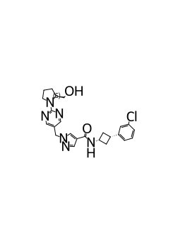 O=C(N[C@H]1C[C@@H](c2cccc(Cl)c2)C1)c1cnn(Cc2cnc(N3CCC[C@H]3CO)nc2)c1